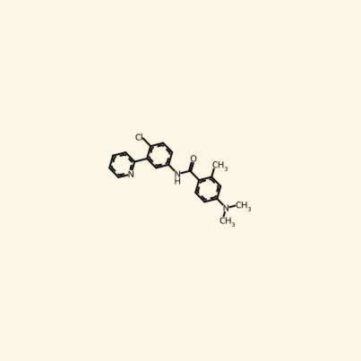 Cc1cc(N(C)C)ccc1C(=O)Nc1ccc(Cl)c(-c2ccccn2)c1